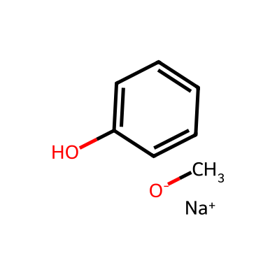 C[O-].Oc1ccccc1.[Na+]